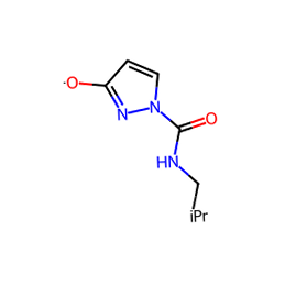 CC(C)CNC(=O)n1ccc([O])n1